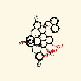 CCc1cc2c(c(C(C)(C)C)c1)C1=C(c3c(cc(CC)cc3C(C)(C)C)C2)C(C2C=Cc3cccc4cccc2c34)c2ccc(P(O)O)c3c(P(O)O)c4c(c1c23)-c1c(cc(CC)cc1C(C)(C)C)Cc1cc(CC)cc(C(C)(C)C)c1-4